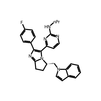 CCCNc1nccc(-c2c(-c3ccc(F)cc3)nc3n2[C@H](Cn2ccc4ccccc42)CC3)n1